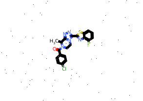 CC1c2nnc(-c3nc4c(F)cccc4s3)n2CCN1C(=O)c1ccc(Cl)cc1